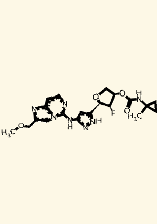 COCc1cn2c(Nc3cc([C@H]4OC[C@@H](OC(=O)NC5(C)CC5)[C@@H]4F)[nH]n3)nccc2n1